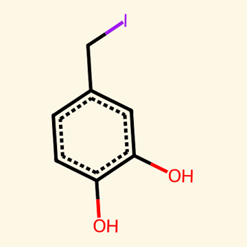 Oc1ccc(CI)cc1O